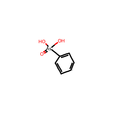 O=[As](O)(O)c1cc[c]cc1